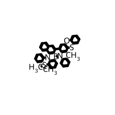 Cc1ccccc1N1B2c3cccc4c3N(c3ccccc3S4(C)C)c3c2c(cc2ccccc32)-c2cc3c(cc21)Sc1ccccc1O3